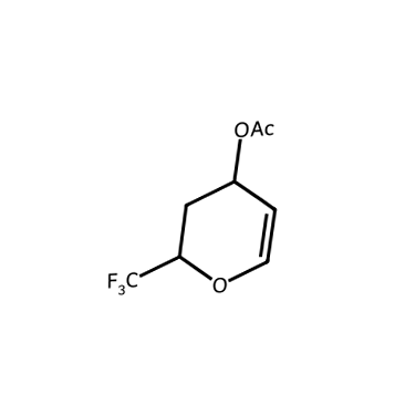 CC(=O)OC1C=COC(C(F)(F)F)C1